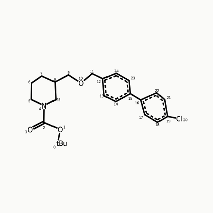 CC(C)(C)OC(=O)N1CCCC(COCc2ccc(-c3ccc(Cl)cc3)cc2)C1